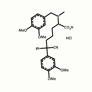 COc1ccc(CN(C)C(CCCC(C#N)(c2ccc(OC)c(OC)c2)C(C)C)C(=O)O)cc1OC.Cl